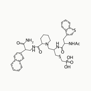 CC(=O)NC(Cc1csc2ccccc12)C(=O)NC(CSCP(=O)(O)O)CN1CCCCC1C(=O)NCC(C(N)=O)c1ccc2ccccc2c1